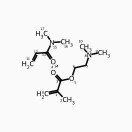 C=C(C)C(=O)OCCN(C)C.C=CC(=O)N(C)C